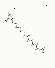 CC(=O)OCCCCCCCCCCCCCC1CC1